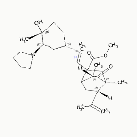 C=C(C)[C@@H]1CC2[C@H](C)C(=O)[C@@]1(C)CC2(/C=C(\C)[C@H]1CC[C@@](C)(O)[C@H](N2CCCC2)C1)C(=O)OC